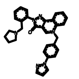 O=c1c2cn(Cc3ccc(-n4cccn4)cc3)c3ccccc3c-2nn1-c1ccccc1CN1CCCC1